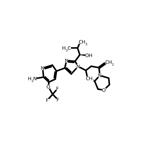 C=C(CC(C)n1cc(-c2cnc(N)c(OC(F)(F)F)c2)nc1[C@H](O)C(C)C)N1CCOCC1